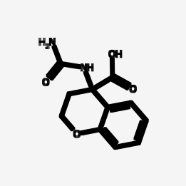 NC(=O)NC1(C(=O)O)CCOc2ccccc21